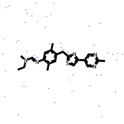 CCN(C)/C=N/c1cc(C)c(Cc2nc(-c3cnc(C)nc3)cs2)cc1C